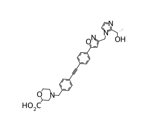 C[C@H](O)c1nccn1Cc1cc(-c2ccc(C#Cc3ccc(CN4CCOC(C(=O)O)C4)cc3)cc2)on1